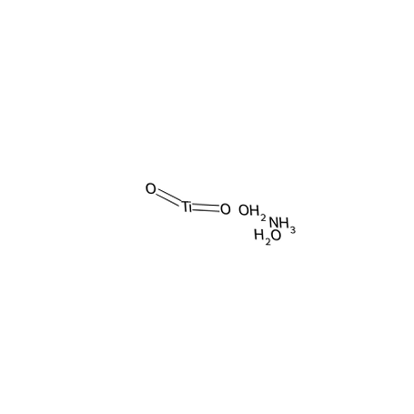 N.O.O.[O]=[Ti]=[O]